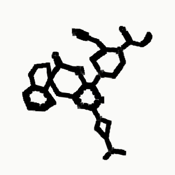 C=CC(=O)N1CCN(c2nc(N3CC(N(C)C)C3)nc3c2NC(=O)C2(CCCc4ccccc42)C3)C=C1CC#N